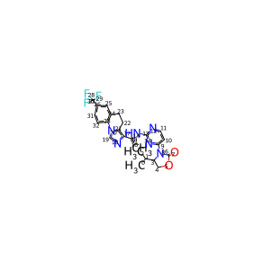 CC(C)C1COC(=O)N1c1ccnc(N[C@@H](C)c2ncn3c2CCc2cc(C(F)(F)F)ccc2-3)n1